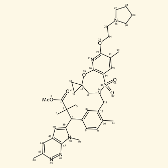 COC(=O)C(C)(C)C(c1ccc(C)c(CN2CC3(CC3)Oc3nc(OCCN4CCCC4)c(C)cc3S2(=O)=O)c1)c1cc2cc(C)nnc2n1C